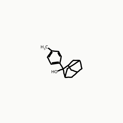 Cc1ccc(C2(O)C3CC4CC(C3)CC2C4)cc1